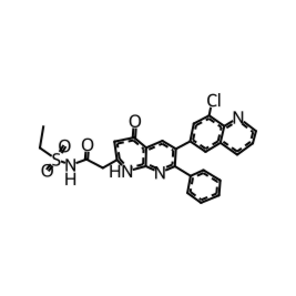 CCS(=O)(=O)NC(=O)Cc1cc(=O)c2cc(-c3cc(Cl)c4ncccc4c3)c(-c3ccccc3)nc2[nH]1